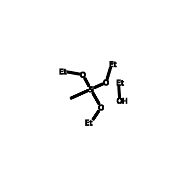 CCO.CCO[Si](C)(OCC)OCC